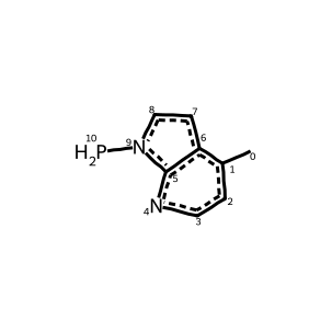 Cc1ccnc2c1ccn2P